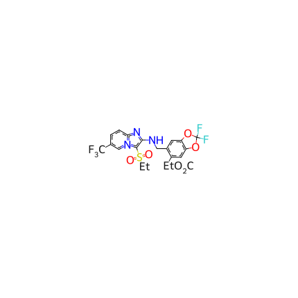 CCOC(=O)c1cc2c(cc1CNc1nc3ccc(C(F)(F)F)cn3c1S(=O)(=O)CC)OC(F)(F)O2